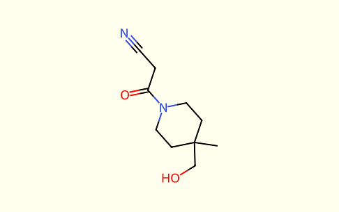 CC1(CO)CCN(C(=O)CC#N)CC1